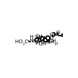 C[C@@H]1C[C@H](CNCCC(=O)O)O[C@H]2[C@H]1[C@@]1(C)CC[C@@]34C[C@@]35CC[C@H](O[C@H]3CN(C(=O)CC6CC6)CCO3)C(C)(C)[C@@H]5CC[C@H]4[C@]1(C)[C@H]2O